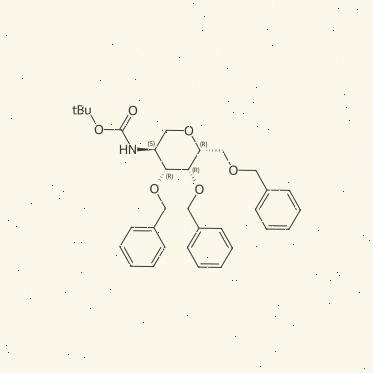 CC(C)(C)OC(=O)N[C@H]1[CH]O[C@H](COCc2ccccc2)[C@H](OCc2ccccc2)[C@@H]1OCc1ccccc1